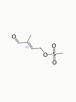 C/C(C=O)=C\COS(C)(=O)=O